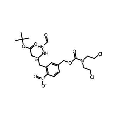 CC(C)(C)OC(=O)C[C@H](Cc1cc(COC(=O)N(CCCl)CCCl)ccc1[N+](=O)[O-])NBC=O